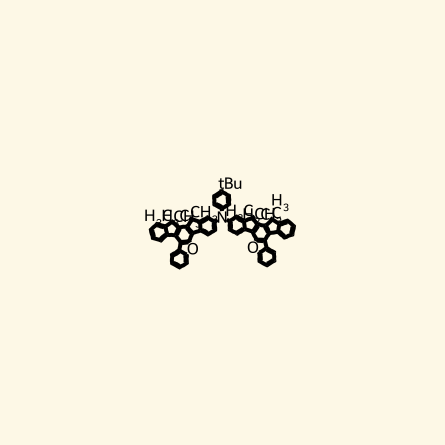 CC(C)(C)c1ccc(N(c2ccc3c(c2)C(C)(C)c2c4c(c5c(oc6ccccc65)c2-3)-c2ccccc2C4(C)C)c2ccc3c(c2)C(C)(C)c2c4c(c5c(oc6ccccc65)c2-3)-c2ccccc2C4(C)C)cc1